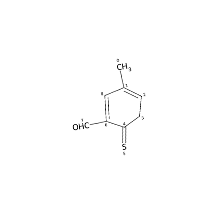 CC1=CCC(=S)C(C=O)=C1